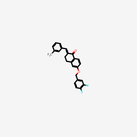 O=C1/C(=C/c2cccc(C(F)(F)F)c2)CCc2cc(OCc3ccc(F)c(F)c3)ccc21